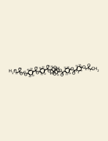 C=CC(=O)COc1ccc(C(=O)Oc2ccc(C(=O)O[C@H]3CO[C@H]4[C@@H]3OC[C@H]4OC(=O)c3ccc(OC(=O)c4ccc(OCOC(=O)C=C)cc4)cc3)cc2)cc1